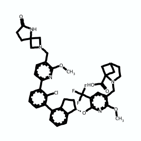 COc1nc(-c2cccc(-c3cccc4c3CC[C@@H]4Oc3nc(OC)c(CN4CCC5CC4(C(=O)O)C5)cc3C(F)(F)F)c2Cl)ccc1CN1CC2(CCC(=O)N2)C1